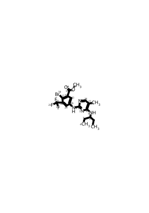 CCC(CC)Nc1nc(Nc2cc(C(=O)OC)c(Br)c(C(F)(F)F)c2)ncc1C